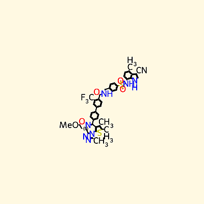 COC(=O)C[C@@H]1N=C(c2ccc(-c3ccc(C(=O)NCc4ccc(S(=O)(=O)Nc5ccc(C)c6c(C#N)c[nH]c56)cc4)c(C(F)(F)F)c3)cc2)c2c(sc(C)c2C)-n2c(C)nnc21